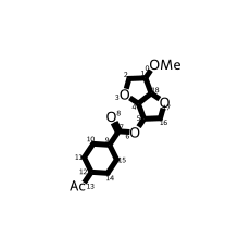 COC1COC2C(OC(=O)C3CCC(C(C)=O)CC3)COC12